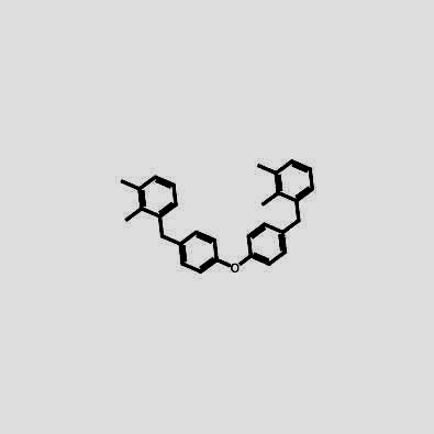 Cc1cccc(Cc2ccc(Oc3ccc(Cc4cccc(C)c4C)cc3)cc2)c1C